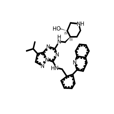 CC(C)c1cnn2c(NCc3ccccc3-c3ccc4ccccc4n3)nc(NC[C@@H]3CCNC[C@H]3O)nc12